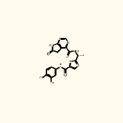 C[C@@H](NC(=O)c1ncnc2c1CC(=O)N2)c1ncc(C(=O)Nc2ccc(Cl)c(C(F)(F)F)c2)s1